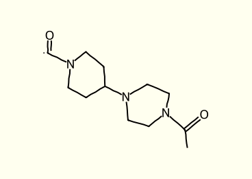 CC(=O)N1CCN(C2CCN([C]=O)CC2)CC1